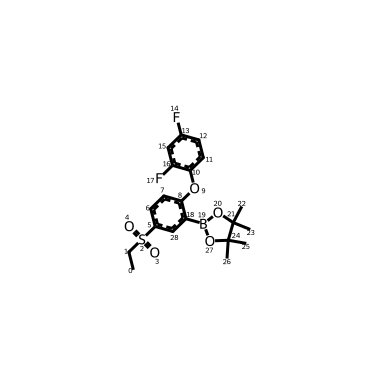 CCS(=O)(=O)c1ccc(Oc2ccc(F)cc2F)c(B2OC(C)(C)C(C)(C)O2)c1